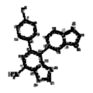 Nc1nc(-c2ccc(F)cc2)c(-c2ccc3ncoc3c2)n2nnnc12